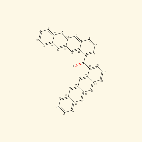 O=C(c1cccc2cc3cc4ccccc4cc3cc12)c1cccc2cc3cc4ccccc4cc3cc12